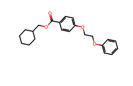 O=C(OCC1CCCCC1)c1ccc(OCCOc2ccccc2)cc1